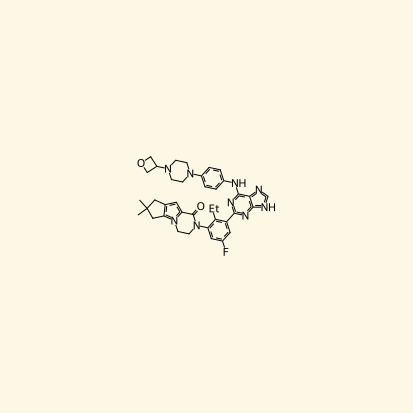 CCc1c(-c2nc(Nc3ccc(N4CCN(C5COC5)CC4)cc3)c3nc[nH]c3n2)cc(F)cc1N1CCn2c(cc3c2CC(C)(C)C3)C1=O